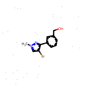 Cn1cc(Br)c(-c2cccc(CO)c2)n1